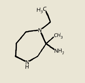 CCN1CCCNCC1(C)N